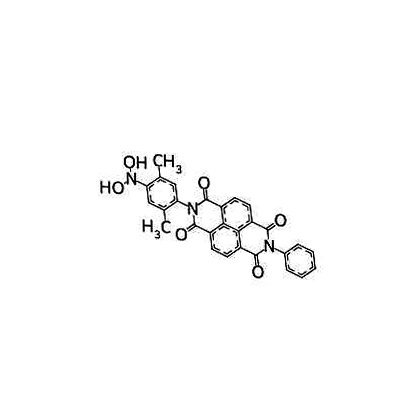 Cc1cc(N2C(=O)c3ccc4c5c(ccc(c35)C2=O)C(=O)N(c2ccccc2)C4=O)c(C)cc1N(O)O